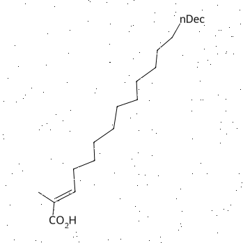 CCCCCCCCCCCCCCCCCCCC/C=C(\C)C(=O)O